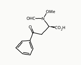 CON(C=O)[C@H](CC(=O)c1ccccc1)C(=O)O